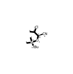 CC(Cl)[C@@H](C#N)O[Si](C)(C)C(C)(C)C